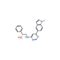 Cn1ccc2cc(-c3cc(NC[C@H](O)c4ccccc4)ncn3)ccc21